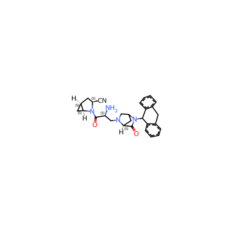 N#C[C@@H]1C[C@@H]2C[C@@H]2N1C(=O)[C@@H](N)CN1CC2C[C@H]1C(=O)N2C1c2ccccc2Cc2ccccc21